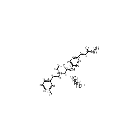 Cl.Cl.Cl.Cl.O=C(C=Cc1cnc(N[C@@H]2CCCN(CCc3cccc(F)c3)C2)cn1)NO